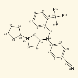 N#Cc1ccc(N(Cc2ccccc2C(F)(F)F)[C@H]2CCN(C3CCCC3)C2)cc1